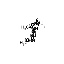 CCc1cc(Nc2ccc(-c3nc4cc(Nc5ccnc(C)c5)ccc4n3I)nc2)c2cc(N3CC(C)OC(C)C3)ccc2n1